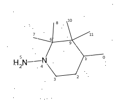 CC1CCN(N)C(C)(C)C1(C)C